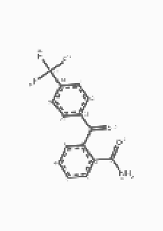 NC(=O)c1ccccc1C(=S)c1ccc(C(F)(F)F)cc1